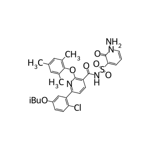 Cc1cc(C)c(Oc2nc(-c3cc(OCC(C)C)ccc3Cl)ccc2C(=O)NS(=O)(=O)c2cccn(N)c2=O)c(C)c1